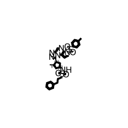 Cc1ccc(S(=O)(=O)n2ccc3c2ncc2nnc([C@H]4C[C@@H](NS(=O)(=O)CCCc5ccccc5)C[C@H]4C)n23)cc1